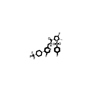 C[C@H]1[C@H](F)C[C@@H](C(=O)NCc2cc([C@H]3CC[C@@H](C(F)(F)F)CC3)c(F)cn2)N1S(=O)(=O)c1ccc(F)cc1